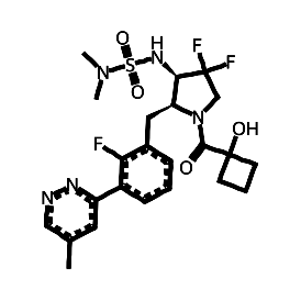 Cc1cnnc(-c2cccc(C[C@H]3[C@@H](NS(=O)(=O)N(C)C)C(F)(F)CN3C(=O)C3(O)CCC3)c2F)c1